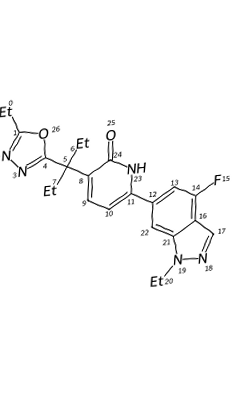 CCc1nnc(C(CC)(CC)c2ccc(-c3cc(F)c4cnn(CC)c4c3)[nH]c2=O)o1